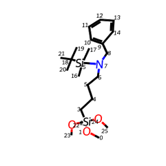 CO[Si](CCCCN(Cc1ccccc1)[Si](C)(C)C(C)(C)C)(OC)OC